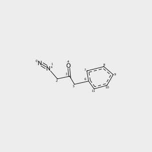 N#[N+]CC(=O)Cc1ccccc1